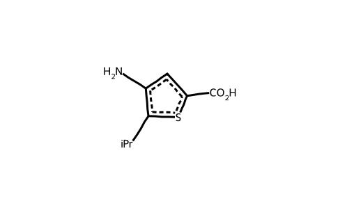 CC(C)c1sc(C(=O)O)cc1N